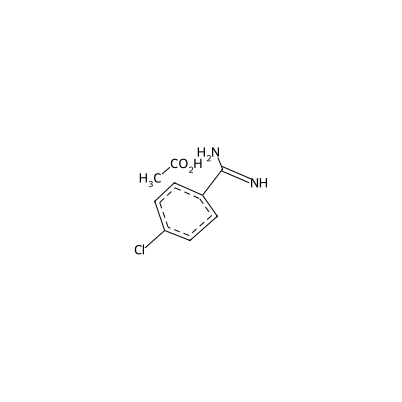 CC(=O)O.N=C(N)c1ccc(Cl)cc1